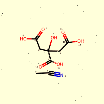 CC#N.O=C(O)CC(O)(CC(=O)O)C(=O)O